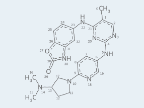 Cc1cnc(Nc2ccc(N3CCC(N(C)C)C3)nc2)nc1Nc1ccc2oc(=O)[nH]c2c1